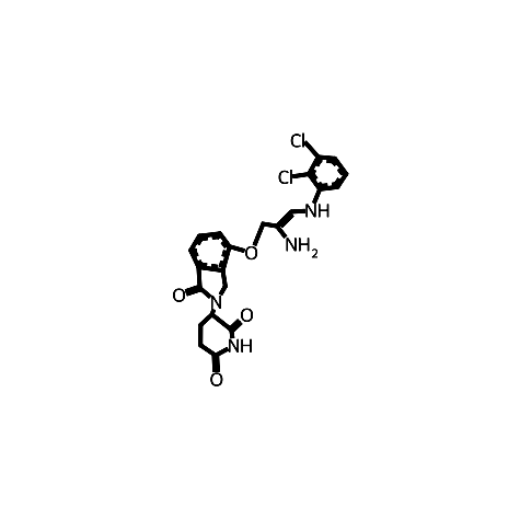 N/C(=C\Nc1cccc(Cl)c1Cl)COc1cccc2c1CN(C1CCC(=O)NC1=O)C2=O